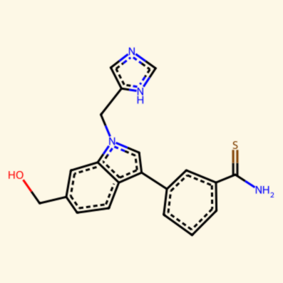 NC(=S)c1cccc(-c2cn(Cc3cnc[nH]3)c3cc(CO)ccc23)c1